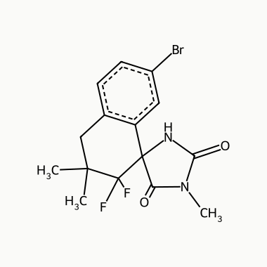 CN1C(=O)NC2(C1=O)c1cc(Br)ccc1CC(C)(C)C2(F)F